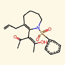 C=CCC1=C(C(C(C)=O)=C(C)O)N(S(=O)(=O)c2ccccc2)CCCC1